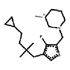 C[C@@H]1CCCN(Cc2scc(CC(C)(C)CCC3CC3)c2F)C1